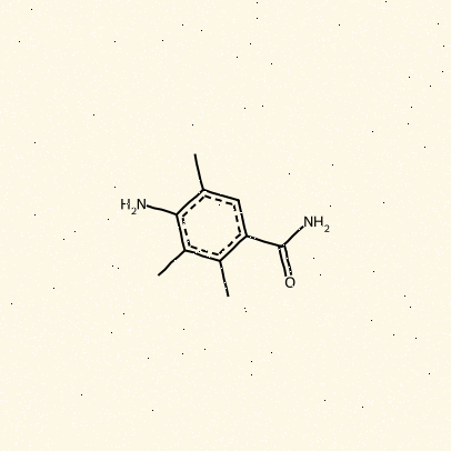 Cc1cc(C(N)=O)c(C)c(C)c1N